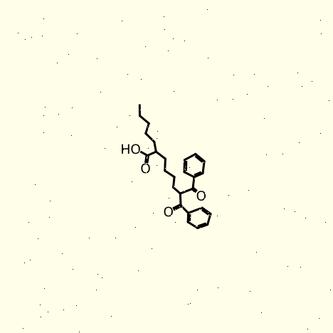 CCCCCC(CCCCC(C(=O)c1ccccc1)C(=O)c1ccccc1)C(=O)O